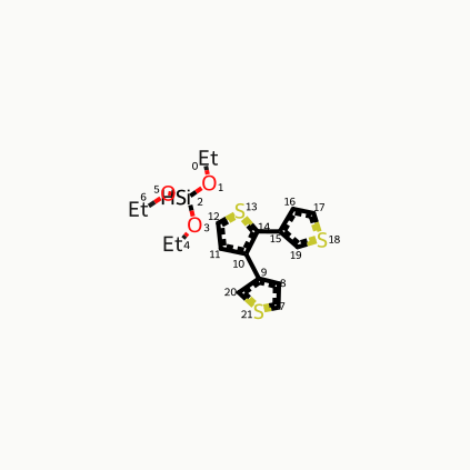 CCO[SiH](OCC)OCC.c1cc(-c2ccsc2-c2ccsc2)cs1